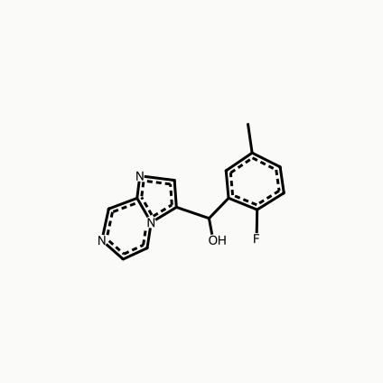 Cc1ccc(F)c(C(O)c2cnc3cnccn23)c1